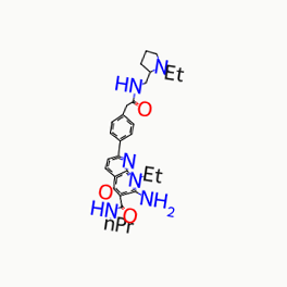 CCCNC(=O)c1c(N)n(CC)c2nc(-c3ccc(CC(=O)NCC4CCCN4CC)cc3)ccc2c1=O